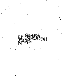 CC1(C)C(=O)N(c2cc(C(F)(F)F)c(C#N)cc2F)C(=S)N1c1ccc2c(c1)NC[C@H](CO)O2